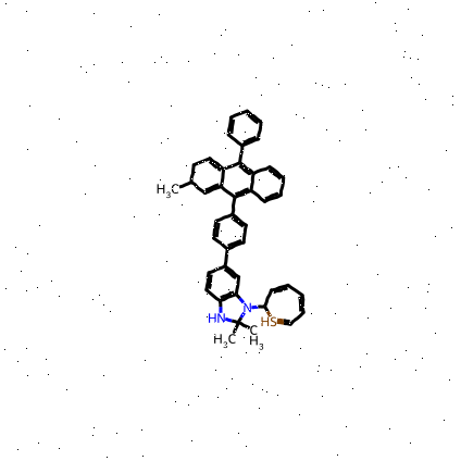 CC1C=c2c(-c3ccc(-c4ccc5c(c4)N(C4C=CC=CC=[SH]4)C(C)(C)N5)cc3)c3ccccc3c(-c3ccccc3)c2=CC1